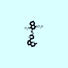 Cc1ccc2cccc(-c3ccc(/N=N/c4cc(S(=O)(=O)O)c5ccccc5c4N)cn3)c2n1